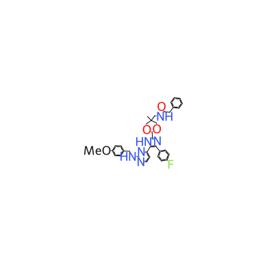 COc1ccc(CNc2nccc(-c3[nH]c(C4OCC(C)(CNC(=O)Cc5ccccc5)CO4)nc3-c3ccc(F)cc3)n2)cc1